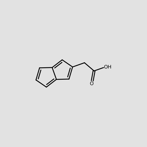 O=C(O)CC1=CC2=CC=CC2=C1